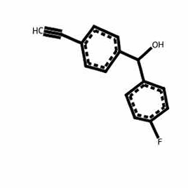 C#Cc1ccc(C(O)c2ccc(F)cc2)cc1